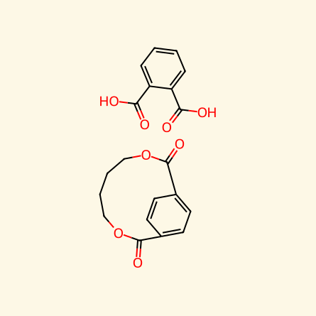 O=C(O)c1ccccc1C(=O)O.O=C1OCCCCOC(=O)c2ccc1cc2